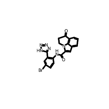 O=C1CCn2c(C(=O)Nc3ccc(Br)cc3-c3nnn[nH]3)cc3cccc1c32